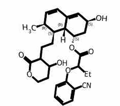 CCC(Oc1ccccc1C#N)C(=O)O[C@H]1C[C@H](O)C=C2C=C[C@H](C)[C@H](CCC3C(=O)OCCC3O)[C@H]21